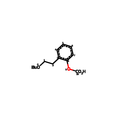 CC(C)COCCc1ccccc1OC(=O)O